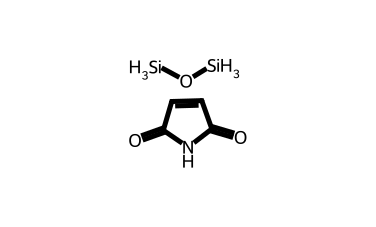 O=C1C=CC(=O)N1.[SiH3]O[SiH3]